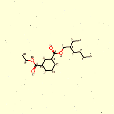 CCCCC(CC)COC(=O)C1CCCC(C(=O)OCC)C1